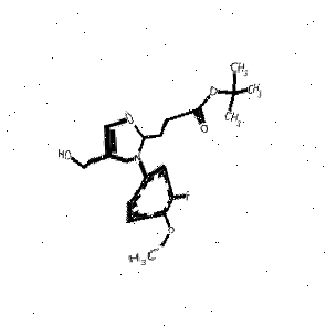 COc1ccc(N2C(CO)=COC2CCC(=O)OC(C)(C)C)cc1F